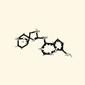 Cc1ccc2c(NC3=NC4(CN3)CN3CCC4CC3)ncnn12